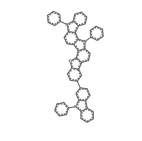 c1ccc(-n2c3ccccc3c3ccc(-c4ccc5oc6c(ccc7c6c6ccc8c(c9ccccc9n8-c8ccccc8)c6n7-c6ccccc6)c5c4)cc32)cc1